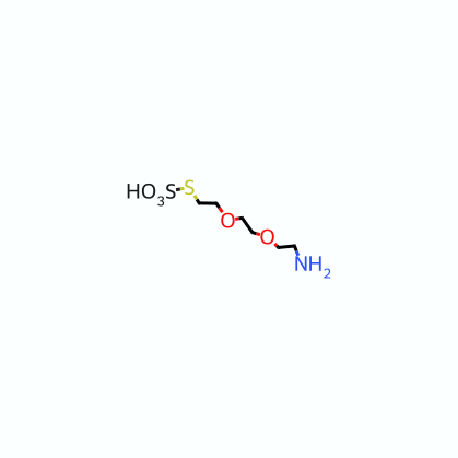 NCCOCCOCCSS(=O)(=O)O